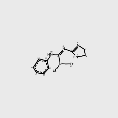 CCN(CC)C(=NC1=NCCN1)Nc1ccccc1